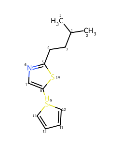 C[C](C)CCc1ncc([SH]2C=CC=C2)s1